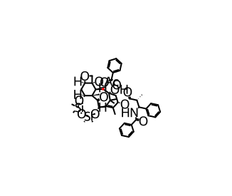 CC(=O)O[C@@]12CO[C@@H]1C[C@@H]1O[Si](C)(C)O[Si](C)(C)O[C@H]3C(=O)[C@@]1(C)[C@@H]2[C@H](OC(=O)c1ccccc1)[C@]1(O)C[C@H](OC(=O)[C@H](C)[C@@H](NC(=O)c2ccccc2)c2ccccc2)C(C)=C3C1(C)C